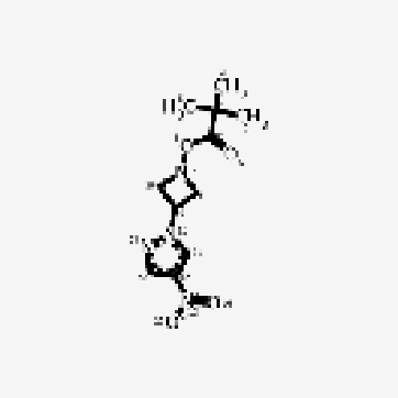 CC(C)(C)C(=O)ON1CC(n2cc([N+](=O)[O-])cn2)C1